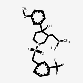 COc1cccc(C2(O)CCN(S(=O)(=O)Cc3cccc(C(F)(F)F)c3)CC2CN(C)C)c1